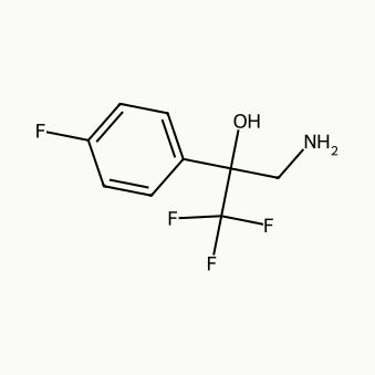 NCC(O)(c1ccc(F)cc1)C(F)(F)F